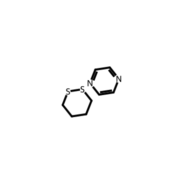 C1CCSSC1.c1cnccn1